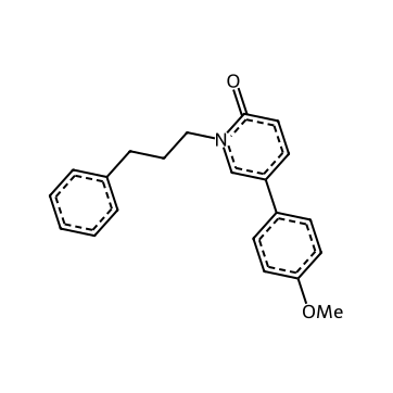 COc1ccc(-c2ccc(=O)n(CCCc3ccccc3)c2)cc1